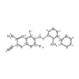 Cc1c(COc2c(F)cc(C=C(C#N)C(N)=O)cc2F)cccc1-c1ccccc1